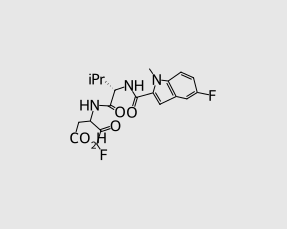 CC(C)[C@H](NC(=O)c1cc2cc(F)ccc2n1C)C(=O)NC(CC(=O)O)C(=O)CF